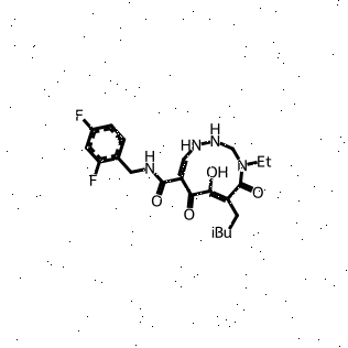 CCC(C)C/C1=C(/O)C(=O)/C(C(=O)NCc2ccc(F)cc2F)=C\NNCN(CC)C1=O